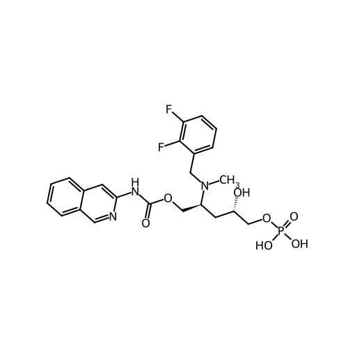 CN(Cc1cccc(F)c1F)[C@H](COC(=O)Nc1cc2ccccc2cn1)C[C@H](O)COP(=O)(O)O